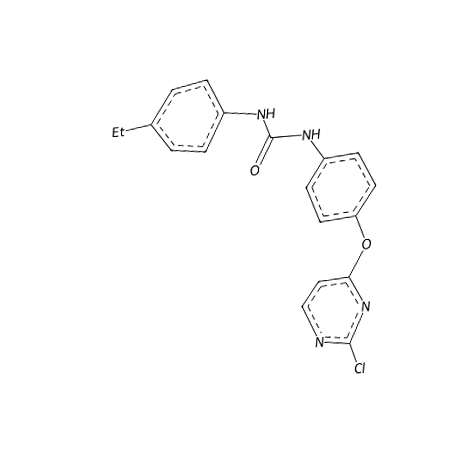 CCc1ccc(NC(=O)Nc2ccc(Oc3ccnc(Cl)n3)cc2)cc1